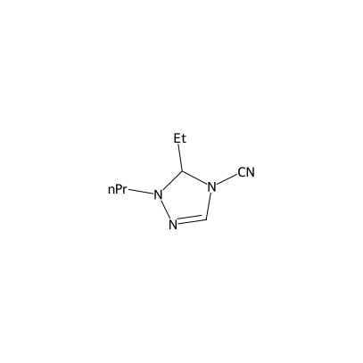 CCCN1N=CN(C#N)C1CC